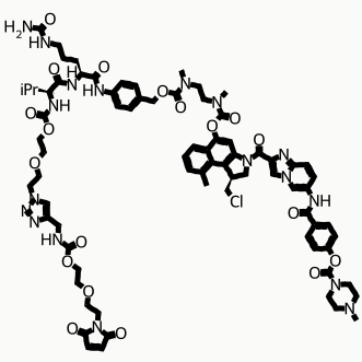 Cc1cccc2c(OC(=O)N(C)CCN(C)C(=O)OCc3ccc(NC(=O)[C@H](CCCNC(N)=O)NC(=O)[C@@H](NC(=O)OCCOCCn4cc(CNC(=O)OCCOCCN5C(=O)C=CC5=O)nn4)C(C)C)cc3)cc3c(c12)[C@H](CCl)CN3C(=O)c1cn2cc(NC(=O)c3ccc(OC(=O)N4CCN(C)CC4)cc3)ccc2n1